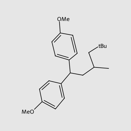 COc1ccc(C(CC(C)CC(C)(C)C)c2ccc(OC)cc2)cc1